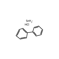 Cl.[SnH2].c1ccc(-c2ccccc2)cc1